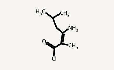 CC(C(=O)Cl)=C(N)CC(C)C